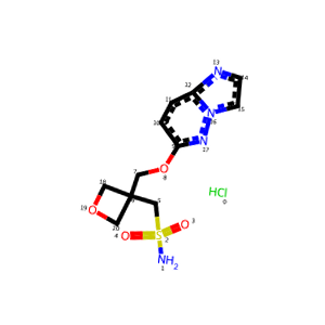 Cl.NS(=O)(=O)CC1(COc2ccc3nccn3n2)COC1